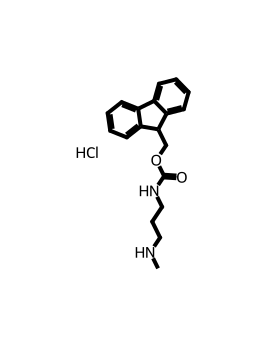 CNCCCNC(=O)OCC1c2ccccc2-c2ccccc21.Cl